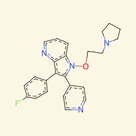 Fc1ccc(-c2c(-c3ccncc3)n(OCCN3CCCC3)c3cccnc23)cc1